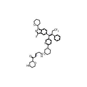 O=C(/C=C/CN[C@H]1CCCN(c2ccc(/C(=C(/CC(F)(F)F)c3ccccc3)c3ccc4c(c3)c(F)nn4C3CCCCO3)cn2)C1)C1CNCCO1